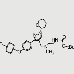 CN(CCNC(=O)OC(C)(C)C)Cc1cn(C2CCCCO2)nc1-c1ccc(Oc2ccc(F)cc2)cc1